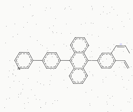 C=Cc1ccc(-c2c3ccccc3c(-c3ccc(-c4cccnc4)cc3)c3ccccc23)cc1/C=C\C